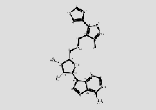 Cc1noc(-c2cscn2)c1CSC[C@H]1O[C@@H](n2ccc3c(N)ncnc32)[C@H](O)[C@@H]1O